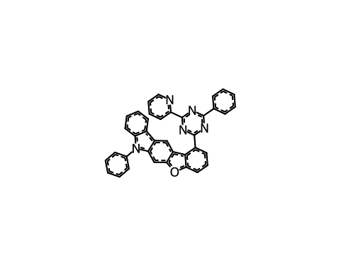 c1ccc(-c2nc(-c3ccccn3)nc(-c3cccc4oc5cc6c(cc5c34)c3ccccc3n6-c3ccccc3)n2)cc1